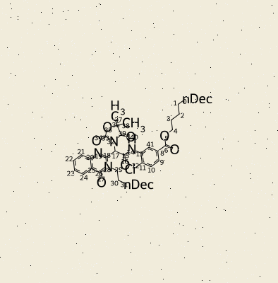 CCCCCCCCCCCCCCOC(=O)c1ccc(Cl)c(NC(=O)C(c2nc3ccccc3c(=O)n2CCCCCCCCCCCC)N2C(=O)OC(C)(C)C2=O)c1